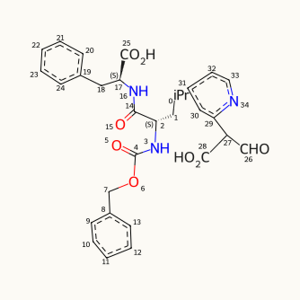 CC(C)C[C@H](NC(=O)OCc1ccccc1)C(=O)N[C@@H](Cc1ccccc1)C(=O)O.O=CC(C(=O)O)c1ccccn1